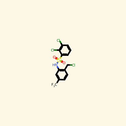 O=S(=O)(Nc1cc(C(F)(F)F)ccc1CCl)c1cccc(Cl)c1Cl